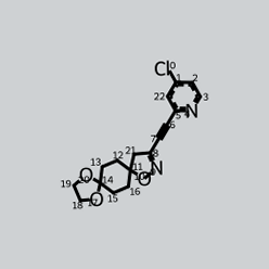 Clc1ccnc(C#CC2=NOC3(CCC4(CC3)OCCO4)C2)c1